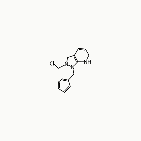 ClCN1CC2=C(NCC=C2)N1Cc1ccccc1